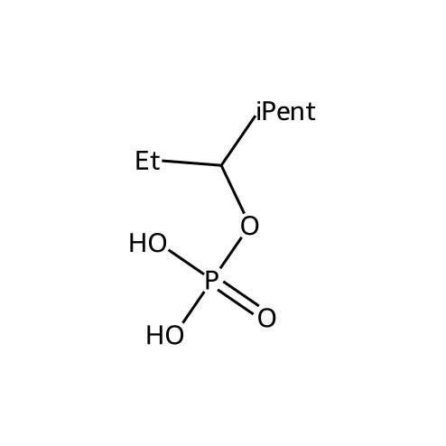 CCCC(C)C(CC)OP(=O)(O)O